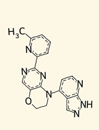 Cc1cccc(-c2ncc3c(n2)N(c2ccnc4[nH]ncc24)CCO3)n1